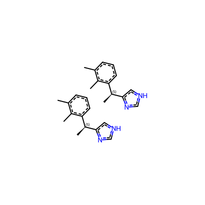 Cc1cccc([C@H](C)c2c[nH]cn2)c1C.Cc1cccc([C@H](C)c2c[nH]cn2)c1C